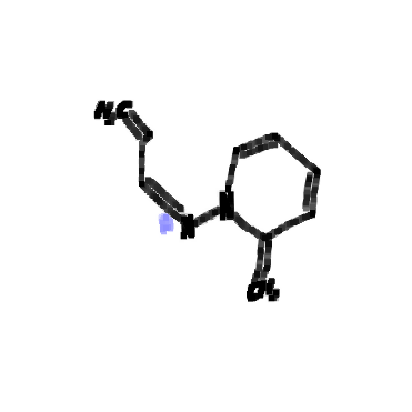 C=C/C=N\N1C=CC=CC1=C